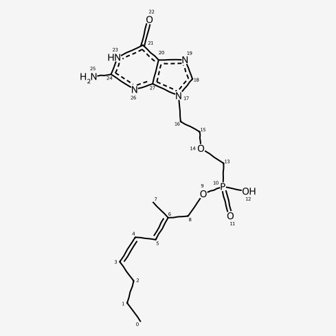 CCC/C=C\C=C(/C)COP(=O)(O)COCCn1cnc2c(=O)[nH]c(N)nc21